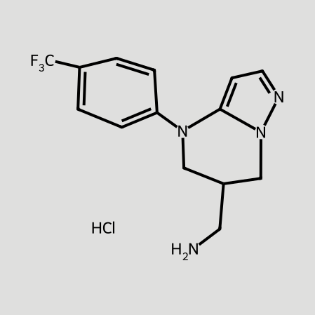 Cl.NCC1CN(c2ccc(C(F)(F)F)cc2)c2ccnn2C1